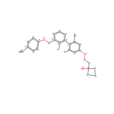 CCc1cc(OCCC2(O)CCC2)cc(C)c1-c1cccc(COc2ccc(C=O)cc2)c1C